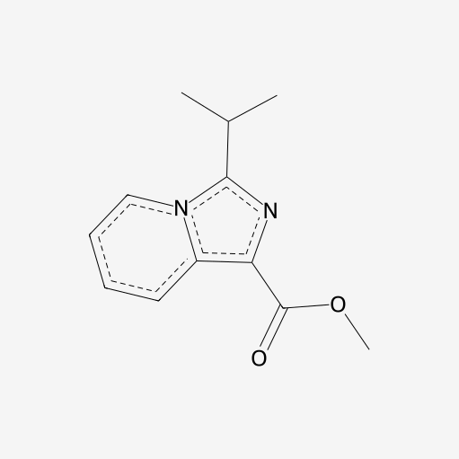 COC(=O)c1nc(C(C)C)n2ccccc12